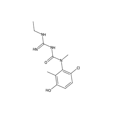 CCNC(=N)NC(=O)N(C)c1c(Cl)ccc(O)c1C